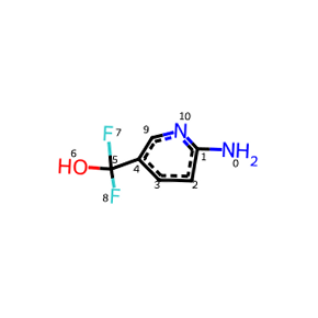 Nc1ccc(C(O)(F)F)cn1